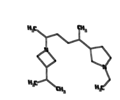 CCN1CCC(C(C)CCC(C)N2CC(C(C)C)C2)C1